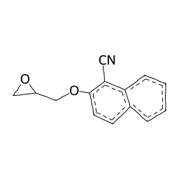 N#Cc1c(OCC2CO2)ccc2ccccc12